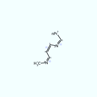 CCC\C=N/C=C\C=N/C